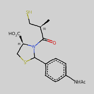 CC(=O)Nc1ccc(C2SC[C@@H](C(=O)O)N2C(=O)[C@H](C)CS)cc1